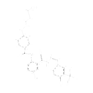 O=C(Nc1ccc(Br)cc1C(=O)N/N=C\c1ccc(Cl)c(C(F)(F)F)c1)c1ccc(CSCCCO)cc1